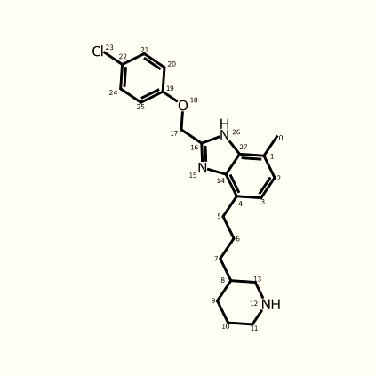 Cc1ccc(CCCC2CCCNC2)c2nc(COc3ccc(Cl)cc3)[nH]c12